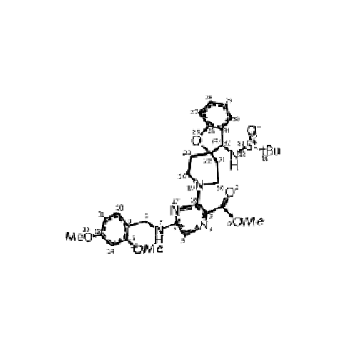 COC(=O)c1ncc(NCc2ccc(OC)cc2OC)nc1N1CCC2(CC1)Oc1ccccc1[C@H]2N[S@+]([O-])C(C)(C)C